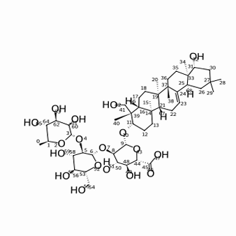 C[C@@H]1O[C@@H](O[C@H]2[C@H](O[C@H]3[C@H](O[C@H]4CC[C@@]5(C)[C@@H](CC[C@]6(C)[C@@H]5CC=C5[C@@H]7CC(C)(C)C[C@@H](O)[C@]7(C)CC[C@]56C)[C@@]4(C)CO)O[C@H](C(=O)O)[C@@H](O)[C@@H]3O)O[C@H](CO)[C@@H](O)[C@@H]2O)[C@H](O)[C@H](O)[C@H]1O